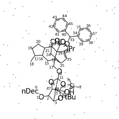 CCCCCCCCCCOC1C2OC3(O[SiH](C)C)OC(OCC45CC6C(C)CCC6C6(C=O)CC4C=C(C(C)C)C65C(=O)OC(c4ccccc4)c4ccccc4)(OC13)C2C(C)(C)C